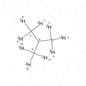 [2H]C([2H])([2H])[C](C([2H])([2H])[2H])C([2H])([2H])[2H]